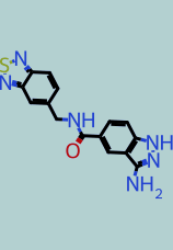 Nc1n[nH]c2ccc(C(=O)NCc3ccc4nsnc4c3)cc12